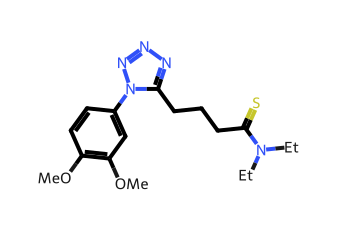 CCN(CC)C(=S)CCCc1nnnn1-c1ccc(OC)c(OC)c1